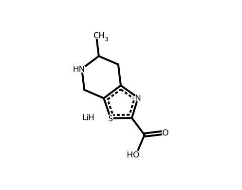 CC1Cc2nc(C(=O)O)sc2CN1.[LiH]